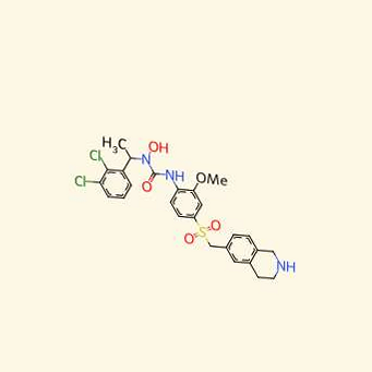 COc1cc(S(=O)(=O)Cc2ccc3c(c2)CCNC3)ccc1NC(=O)N(O)C(C)c1cccc(Cl)c1Cl